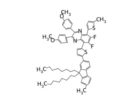 CCCCCCCCC1(CCCCCCCC)c2cc(C)ccc2-c2ccc(-c3ccc(-c4c(F)c(F)c(-c5ccc(C)s5)c5nc(-c6ccc(OC)cc6)c(-c6ccc(OC)cc6)nc45)s3)cc21